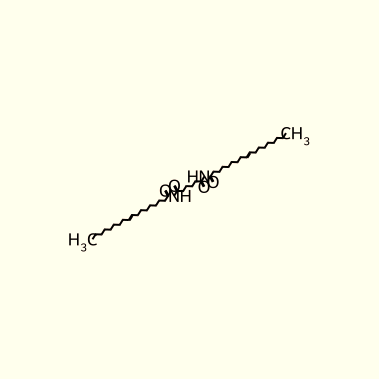 CCCCCCCCC=CCCCCCCCC(=O)NC(=O)CCCCC(=O)NC(=O)CCCCCCCC=CCCCCCCCC